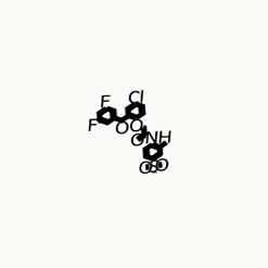 Cc1cc(S(C)(=O)=O)ccc1NC(=O)COc1ccc(Cl)cc1C(=O)c1cc(F)cc(F)c1